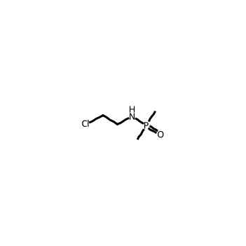 CP(C)(=O)NCCCl